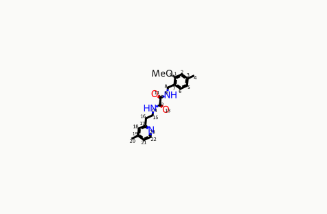 COc1cc(C)ccc1CNC(=O)C(=O)NCCc1cc(C)ccn1